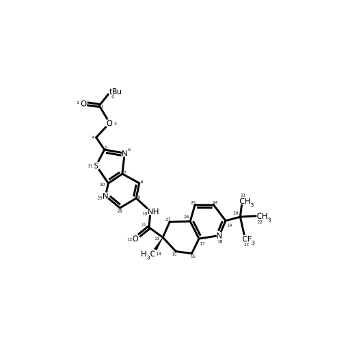 CC(C)(C)C(=O)OCc1nc2cc(NC(=O)[C@@]3(C)CCc4nc(C(C)(C)C(F)(F)F)ccc4C3)cnc2s1